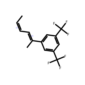 C/C=C\C=C(/C)c1cc(C(F)(F)F)cc(C(F)(F)F)c1